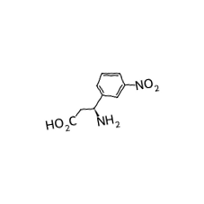 N[C@@H](CC(=O)O)c1cccc([N+](=O)[O-])c1